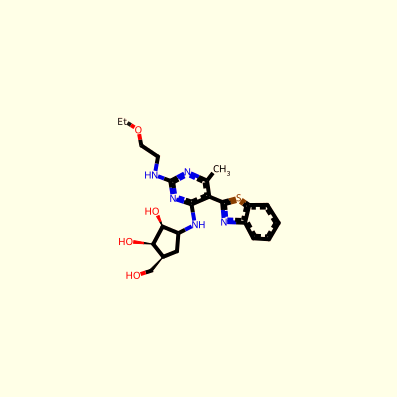 CCOCCNc1nc(C)c(-c2nc3ccccc3s2)c(NC2C[C@@H](CO)[C@@H](O)[C@H]2O)n1